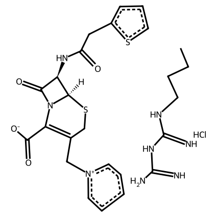 CCCCNC(=N)NC(=N)N.Cl.O=C(Cc1cccs1)N[C@@H]1C(=O)N2C(C(=O)[O-])=C(C[n+]3ccccc3)CS[C@H]12